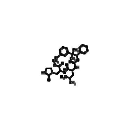 COC(=O)[C@H](CC1CCNC1=O)NC(=O)[C@H](CC(C)C)NC(=O)OC(c1ccccc1)C(C)(C)c1cccc(Cl)c1